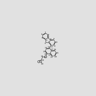 c1ccc2c(c1)Cc1c-2cccc1-c1ccc(OCC2CO2)c2ccccc12